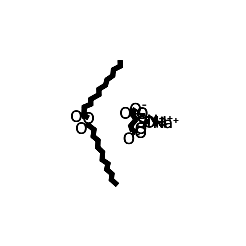 CCCCCCCCCCCC(=O)OC(=O)CCCCCCCCCCC.O=C([O-])CC(C(=O)[O-])S(=O)(=O)O.[Na+].[Na+]